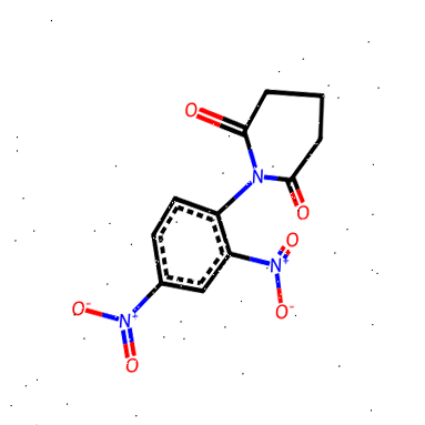 O=C1CCCC(=O)N1c1ccc([N+](=O)[O-])cc1[N+](=O)[O-]